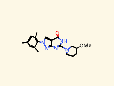 COC1CCCN(c2nc3nn(-c4c(C)cc(C)cc4C)cc3c(=O)[nH]2)C1